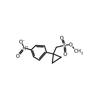 COS(=O)(=O)CC1(c2ccc([N+](=O)[O-])cc2)CC1